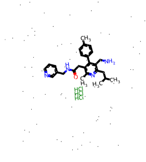 Cc1ccc(-c2c(CC(=O)NCc3cccnc3)c(C)nc(CC(C)C)c2CN)cc1.Cl.Cl.Cl